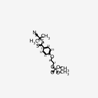 COP(=O)(OC)OCCOc1ccc(C(=S)SC(C)(C)C#N)cc1